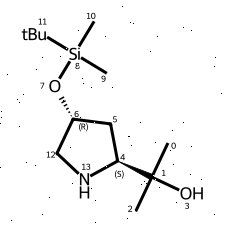 CC(C)(O)[C@@H]1C[C@@H](O[Si](C)(C)C(C)(C)C)CN1